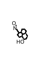 O=CN=C=c1ccc2c(O)ccc3cccc1c32